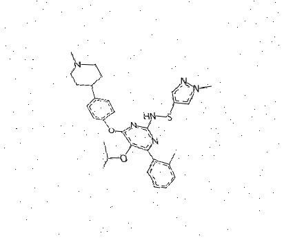 Cc1ccccc1-c1nc(NSc2cnn(C)c2)nc(Oc2ccc(C3CCN(C)CC3)cc2)c1OC(C)C